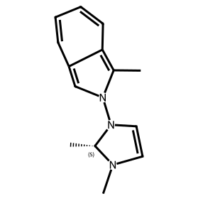 Cc1c2ccccc2cn1N1C=CN(C)[C@@H]1C